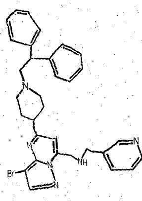 Brc1cnn2c(NCc3cccnc3)cc(C3CCN(CC(c4ccccc4)c4ccccc4)CC3)nc12